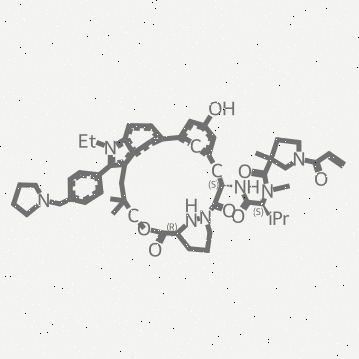 C=CC(=O)N1CCC(C)(C(=O)N(C)[C@H](C(=O)N[C@H]2Cc3cc(O)cc(c3)-c3ccc4c(c3)c(c(-c3ccc(CN5CCCC5)cc3)n4CC)CC(C)(C)COC(=O)[C@@]3(C)CCCN(N3)C2=O)C(C)C)C1